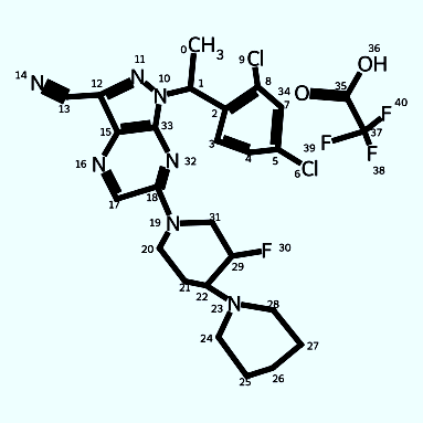 CC(c1ccc(Cl)cc1Cl)n1nc(C#N)c2ncc(N3CCC(N4CCCCC4)C(F)C3)nc21.O=C(O)C(F)(F)F